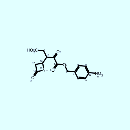 O=C(O)CC(C(=O)C(=O)OCc1ccc([N+](=O)[O-])cc1)C1CC(=O)N1